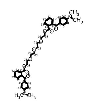 CN(C)c1ccc(C(=O)c2ccccc2C(=O)OCCOCCOCCOCCOC(=O)c2ccccc2C(=O)c2ccc(N(C)C)cc2)cc1